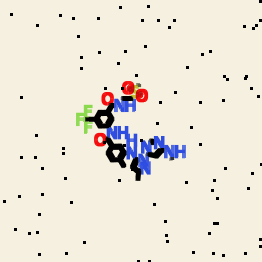 CNc1cc(-n2nc(C)cc2Nc2cc(C(=O)Nc3cc(C(=O)NCCS(C)(=O)=O)cc(C(F)(F)F)c3)ccc2C)ncn1